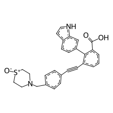 O=C(O)c1cccc(C#Cc2ccc(CN3CC[S+]([O-])CC3)cc2)c1-c1ccc2cc[nH]c2c1